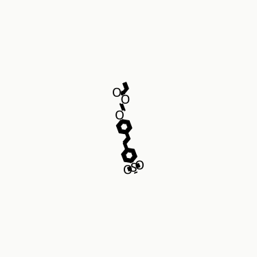 C=CC(=O)OCCOc1ccc(C=Cc2ccc(S(C)(=O)=O)cc2)cc1